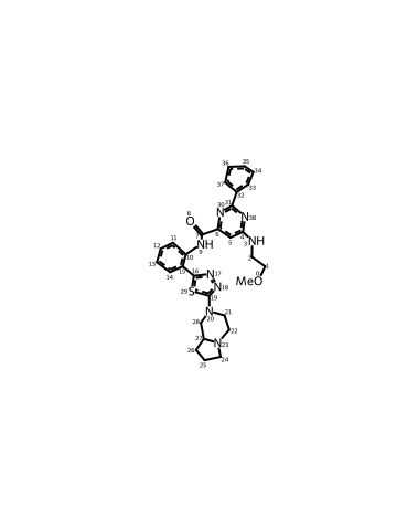 COCCNc1cc(C(=O)Nc2ccccc2-c2nnc(N3CCN4CCCC4C3)s2)nc(-c2ccccc2)n1